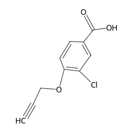 C#CCOc1ccc(C(=O)O)cc1Cl